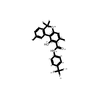 Cc1ccc2c(c1)-c1c(cc(C)c(C(=O)Nc3ccc(C(F)(F)F)cc3)c1O)OC2(C)C